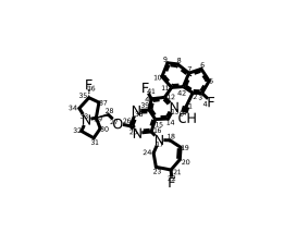 C#Cc1c(F)ccc2cccc(-c3ncc4c(N5CC=CC(F)CC5)nc(OC[C@@]56CCCN5C[C@H](F)C6)nc4c3F)c12